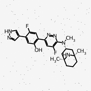 CN(c1nnc(-c2cc(F)c(-c3cn[nH]c3)cc2O)cc1F)[C@H]1C[C@]2(C)CCC[C@](C)(C1)N2